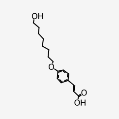 O=C(O)C=Cc1ccc(OCCCCCCCCO)cc1